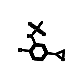 CS(=O)(=O)Nc1cc(C2CO2)ccc1Cl